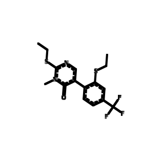 CCSc1cc(C(F)(F)F)ccc1-c1cnc(SCC)n(C)c1=O